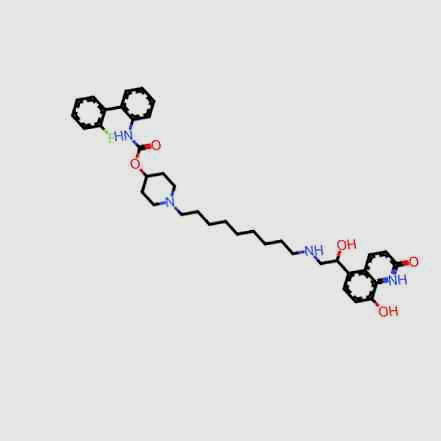 O=C(Nc1ccccc1-c1ccccc1F)OC1CCN(CCCCCCCCCNCC(O)c2ccc(O)c3[nH]c(=O)ccc23)CC1